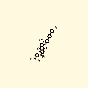 CCCC1CCC(c2ccc(-c3ccc(Sc4c(CC(C)C)ccc5c4C(=O)c4ccc(CC(C)C)c(Sc6ccc(C(S)CCC)cc6)c4C5=O)cc3)cc2)CC1